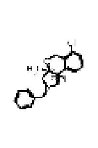 C[C@]12CN(Cc3ccccc3)C[C@H]1c1cccc(Cl)c1CO2